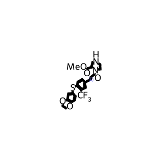 COC(=O)C1CNCCN1C(=O)/C=C/c1ccc(Sc2ccc3c(c2)OCCO3)c(C(F)(F)F)c1